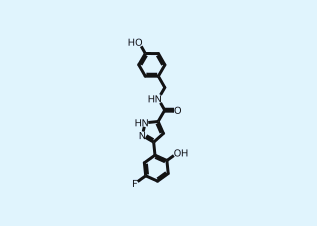 O=C(NCc1ccc(O)cc1)c1cc(-c2cc(F)ccc2O)n[nH]1